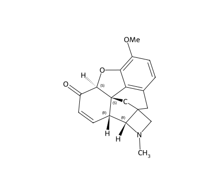 COc1ccc2c3c1O[C@@H]1C(=O)C=C[C@H]4[C@H]5N(C)CC5(C2)C[C@]314